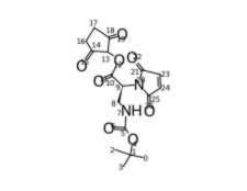 CC(C)(C)OC(=O)NC[C@@H](C(=O)OC1C(=O)CCC1=O)N1C(=O)C=CC1=O